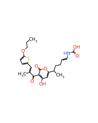 CCCOc1ccc(C=C(C)C(=O)c2c(O)cc(C(C)CCC=CNC(=O)O)oc2=O)s1